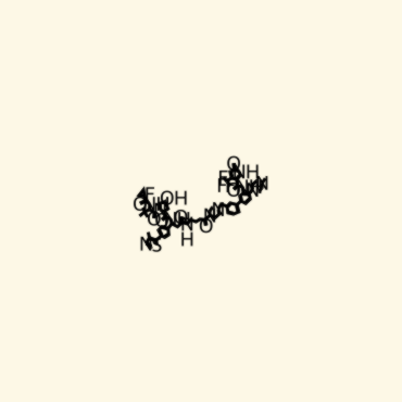 Cc1ncsc1-c1ccc(C(CC(=O)NCCCC(=O)N2CCN(Cc3cccc(-c4ccc(N5CCN(C)CC5)c(NC(=O)c5c[nH]c(=O)cc5C(F)(F)F)c4)c3)CC2)NC(=O)[C@@H]2C[C@@H](O)CN2C(=O)C(NC(=O)C2(F)CC2)C(C)(C)C)cc1